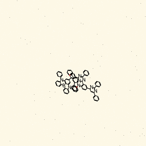 c1ccc(-c2ccc3c(c2)c2ccccc2n3-c2ccc(-c3cc(-c4ccccc4)nc(-c4ccccc4)n3)cc2-c2nc(-c3ccccc3)nc(-c3cccc(-c4cc5c6c(c4)N(c4ccccc4)c4ccccc4B6c4ccccc4N5c4ccccc4)c3)n2)cc1